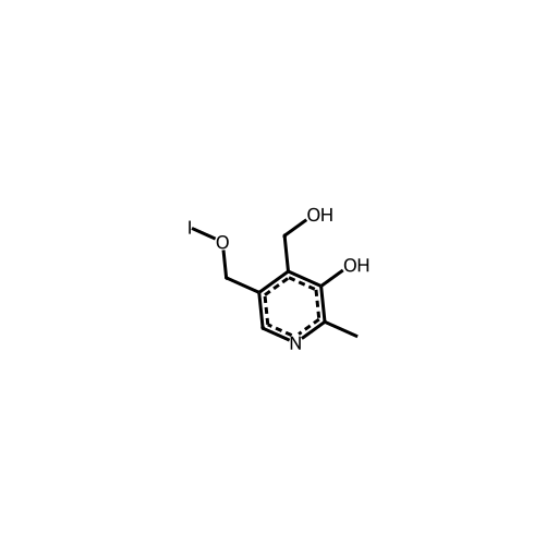 Cc1ncc(COI)c(CO)c1O